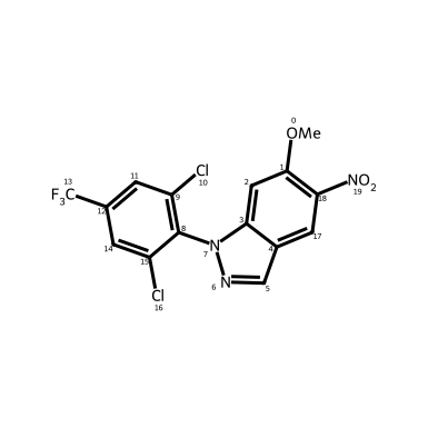 COc1cc2c(cnn2-c2c(Cl)cc(C(F)(F)F)cc2Cl)cc1[N+](=O)[O-]